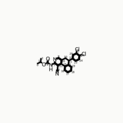 CC(C)OC(=O)Nc1ncc2c(c1C#N)-c1ccccc1C(c1ccc(Cl)c(Cl)c1)C2